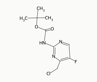 CC(C)(C)OC(=O)Nc1ncc(F)c(CCl)n1